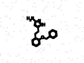 Nc1cc(CCc2ccccc2OCc2ccccc2)[nH]n1